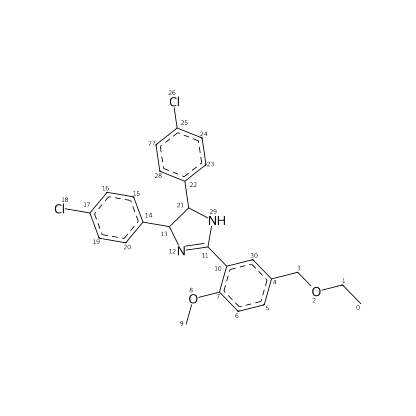 CCOCc1ccc(OC)c(C2=NC(c3ccc(Cl)cc3)C(c3ccc(Cl)cc3)N2)c1